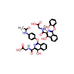 CC(=O)Nc1ccc(Oc2nc(C(=O)NCC(=O)O)c(O)c3ccccc23)cc1.COc1ccccc1Oc1nc(C(=O)NCC(=O)O)c(O)c2ccccc12